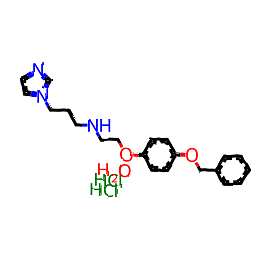 Cl.Cl.O.c1ccc(COc2ccc(OCCNCCCn3ccnc3)cc2)cc1